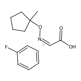 CC1(O/N=C\C(=O)O)CCCC1.Fc1ccccc1